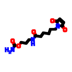 NC(=O)OCCCNC(=O)CCCCCN1C(=O)C=CC1=O